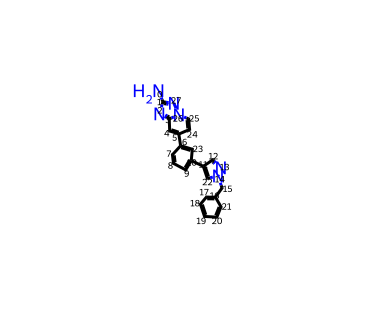 Nc1nc2cc(-c3cccc(-c4cnn(Cc5ccccc5)c4)c3)ccn2n1